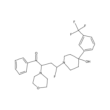 O=C(c1ccccc1)C(CC(F)N1CCC(O)(c2cccc(C(F)(F)F)c2)CC1)N1CCOCC1